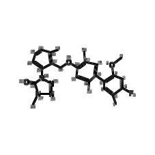 COc1cc(F)c(C)cc1-c1cc(C)c(OCc2c(C)cccc2-n2nnn(C)c2=O)cc1C